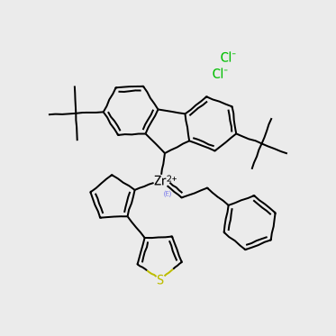 CC(C)(C)c1ccc2c(c1)[CH](/[Zr+2](=[CH]\Cc1ccccc1)[C]1=C(c3ccsc3)C=CC1)c1cc(C(C)(C)C)ccc1-2.[Cl-].[Cl-]